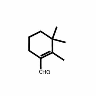 CC1=C(C=O)CCCC1(C)C